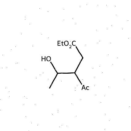 CCOC(=O)CC(C(C)=O)C(C)O